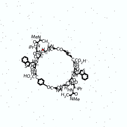 CN[C@@H](C)C(=O)N[C@H](C(=O)N1C[C@@H]2C[C@H]1C(=O)N[C@@H](Cc1csc3ccccc13)C(=O)N[C@H](C(=O)O)Cc1ccc(cc1)OCc1cn(nn1)[C@H]1C[C@@H](C(=O)N[C@@H](Cc3csc4ccccc34)C(=O)N[C@H](C(=O)O)Cc3ccc(cc3)OCc3cn2nn3)N(C(=O)[C@@H](NC(=O)[C@H](C)NC)C(C)C)C1)C(C)C